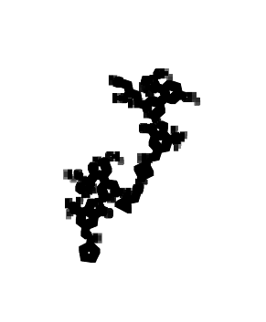 Cc1ccc(-c2nncn2C)c(-c2cc(NC[C@@H](O)CC#N)nc(N3Cc4c(cc(CNC5CC([N+]#CCC6(Nc7cc(-c8cc(C)ncc8-c8nncn8C)cc(N8Cc9c(cc(CNC%10CCCC%10)cc9C(F)(F)F)C8=O)n7)CC6)C5)cc4C(F)(F)F)C3=O)c2)c1